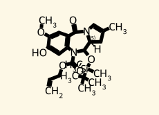 C=CCOC(=O)N1c2cc(O)c(OC)cc2C(=O)N2C=C(C)C[C@H]2C1O[Si](C)(C)C(C)(C)C